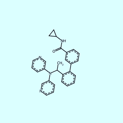 CC(c1ccccc1-c1cccc(C(=O)NC2CC2)c1)N(c1cccnc1)c1cccnc1